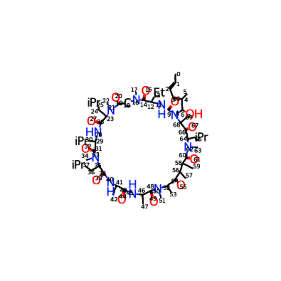 C/C=C/CC(C)C(O)N1C(=O)NC(CC)C(=O)N(C)CC(=O)N(C)C(CC(C)C)C(=O)NC(C(C)C)C(=O)N(C)C(CC(C)C)C(=O)NC(C)C(=O)NC(C)C(=O)N(C)C(C)C(=O)C(C)C(C)C(=O)N(C)C(C(C)C)C(=O)C1C